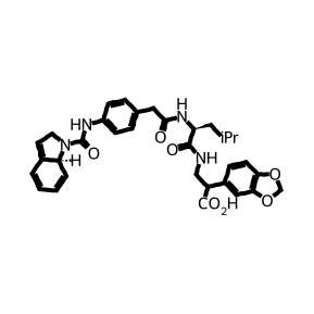 CC(C)C[C@H](NC(=O)Cc1ccc(NC(=O)N2CC=C3C=CC=C[C@@H]32)cc1)C(=O)NCC(C(=O)O)c1ccc2c(c1)OCO2